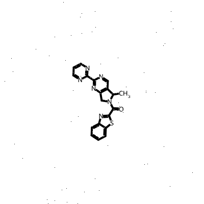 CC1c2cnc(-c3ncccn3)nc2CN1C(=O)c1nc2ccccc2s1